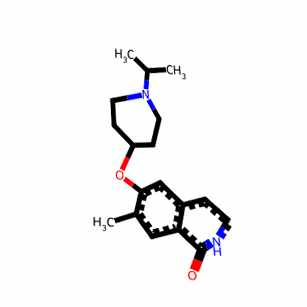 Cc1cc2c(=O)[nH]ccc2cc1OC1CCN(C(C)C)CC1